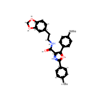 CNc1ccc(-c2oc(-c3ccc(C(C)(C)C)cc3)nc2C(=O)NCCc2ccc3c(c2)OCO3)cc1